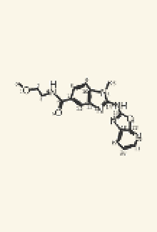 COCCNC(=O)c1ccc2c(c1)nc(Nc1nc3cccnc3o1)n2C